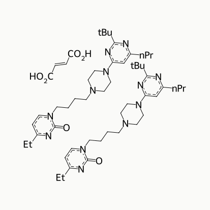 CCCc1cc(N2CCN(CCCCn3ccc(CC)nc3=O)CC2)nc(C(C)(C)C)n1.CCCc1cc(N2CCN(CCCCn3ccc(CC)nc3=O)CC2)nc(C(C)(C)C)n1.O=C(O)C=CC(=O)O